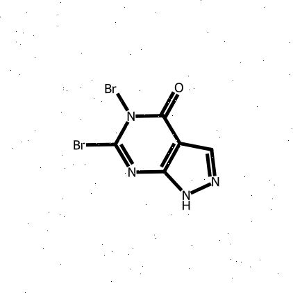 O=c1c2cn[nH]c2nc(Br)n1Br